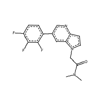 CN(C)C(=O)Cn1ccc2ncc(-c3ccc(F)c(F)c3F)cc21